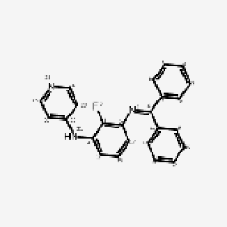 Fc1c(N=C(c2ccccc2)c2ccccc2)cccc1Nc1ccncc1